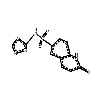 O=c1ccc2cc(S(=O)(=O)Nc3nncs3)ccc2[nH]1